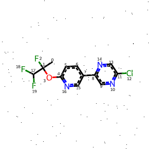 CC(F)(Oc1ccc(-c2cnc(Cl)cn2)cn1)C(F)F